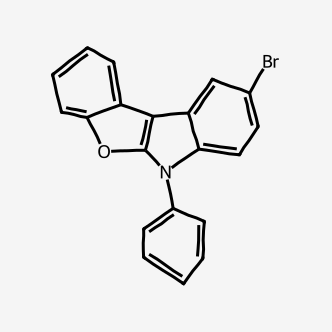 Brc1ccc2c(c1)c1c3ccccc3oc1n2-c1ccccc1